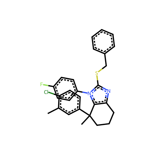 Cc1cc(C2(C)CCCc3nc(SCc4ccccc4)n(-c4ccc(F)cc4)c32)ccc1Cl